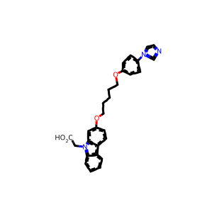 O=C(O)Cn1c2ccccc2c2ccc(OCCCCCOc3ccc(-n4ccnc4)cc3)cc21